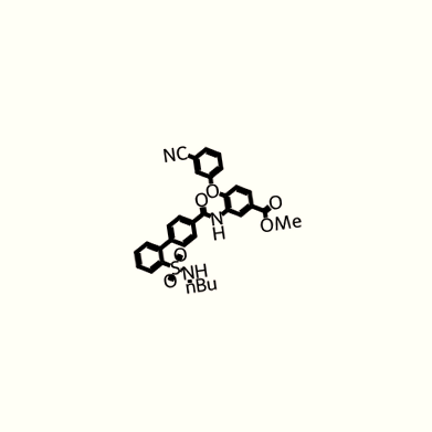 CCCCNS(=O)(=O)c1ccccc1-c1ccc(C(=O)Nc2cc(C(=O)OC)ccc2Oc2cccc(C#N)c2)cc1